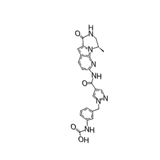 C[C@@H]1CNC(=O)c2cc3ccc(NC(=O)c4cnn(Cc5cccc(NC(=O)O)c5)c4)nc3n21